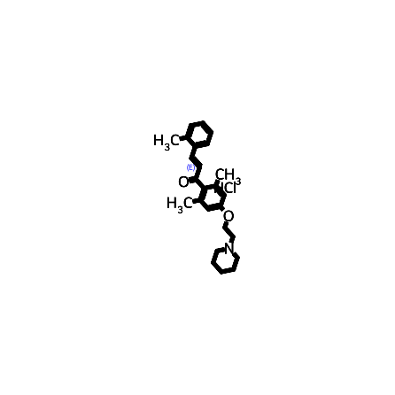 Cc1ccccc1/C=C/C(=O)c1c(C)cc(OCCN2CCCCC2)cc1C.Cl